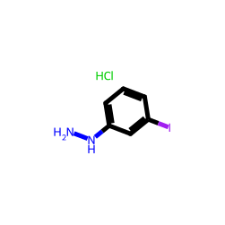 Cl.NNc1cccc(I)c1